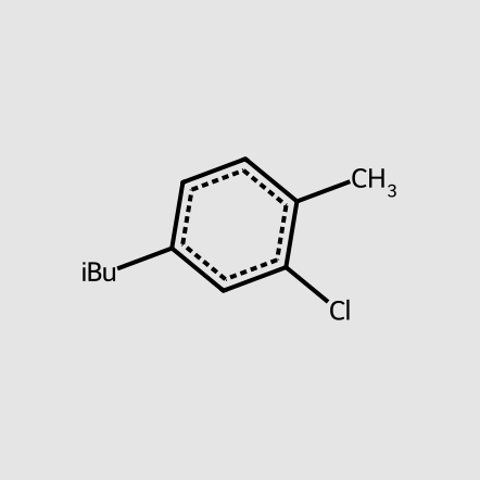 CCC(C)c1ccc(C)c(Cl)c1